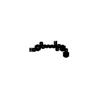 O=C(NCCCCCCOC(=O)N1CCC(O)CC1)Oc1ccc(Oc2ccccc2)cc1